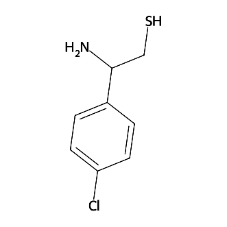 NC(CS)c1ccc(Cl)cc1